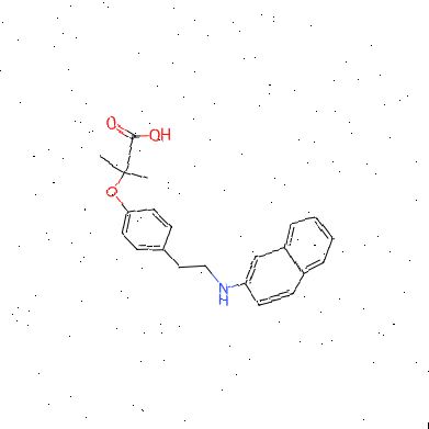 CC(C)(Oc1ccc(CCNc2ccc3ccccc3c2)cc1)C(=O)O